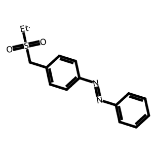 C[CH]S(=O)(=O)Cc1ccc(/N=N/c2ccccc2)cc1